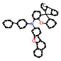 c1ccc(-c2ccc(N(c3ccc4c(c3)oc3c5ccccc5ccc43)c3cccc4c3Oc3ccccc3C43c4ccccc4-c4ccccc43)cc2)cc1